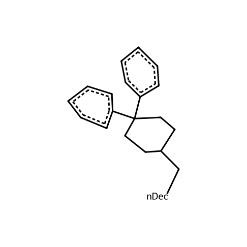 CCCCCCCCCCCC1CCC(c2ccccc2)(c2ccccc2)CC1